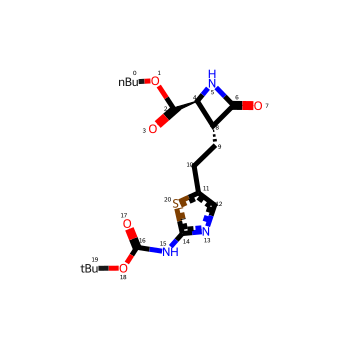 CCCCOC(=O)[C@H]1NC(=O)[C@@H]1CCc1cnc(NC(=O)OC(C)(C)C)s1